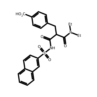 CCN(CC)C(=O)C(Cc1ccc(C(=O)O)cc1)C(=O)NS(=O)(=O)c1ccc2ccccc2c1